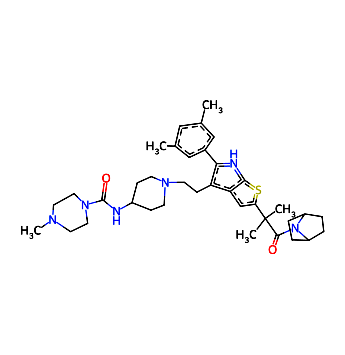 Cc1cc(C)cc(-c2[nH]c3sc(C(C)(C)C(=O)N4C5CCC4CC5)cc3c2CCN2CCC(NC(=O)N3CCN(C)CC3)CC2)c1